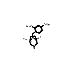 COc1ccc(CN2[C@@H]3CC[C@]2(C(C)(C)C)CNC3)c(OC)c1